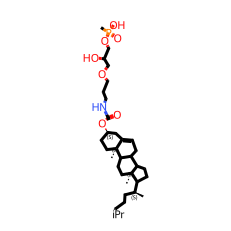 CC(C)CCC[C@H](C)C1CCC2C3CC=C4C[C@@H](OC(=O)NCCCOCC(O)COP(C)(=O)O)CC[C@]4(C)C3CC[C@@]21C